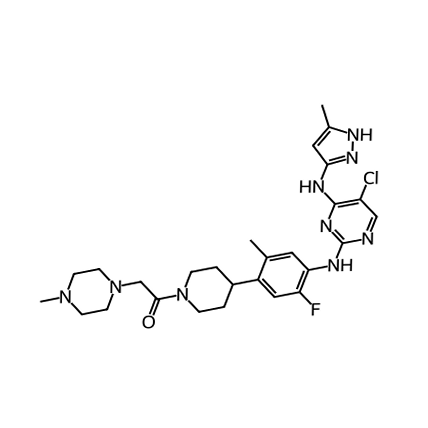 Cc1cc(Nc2nc(Nc3cc(C)c(C4CCN(C(=O)CN5CCN(C)CC5)CC4)cc3F)ncc2Cl)n[nH]1